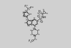 CC1(NS(=O)(=O)c2cc(N3CCN(CC(F)(F)F)CC3)c3ncc(-c4nnc(C(F)F)s4)n3c2)CC1